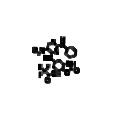 O=C(O)C(F)(F)F.O=c1[nH]c2cc(Nc3nc(Nc4ccccc4)ncc3[N+](=O)[O-])ccc2o1